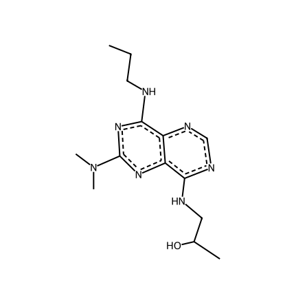 CCCNc1nc(N(C)C)nc2c(NCC(C)O)ncnc12